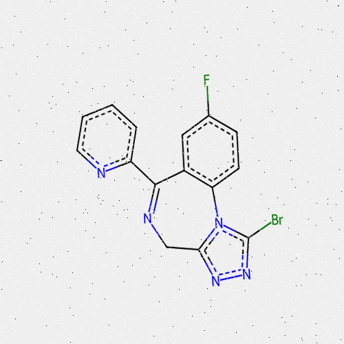 Fc1ccc2c(c1)C(c1ccccn1)=NCc1nnc(Br)n1-2